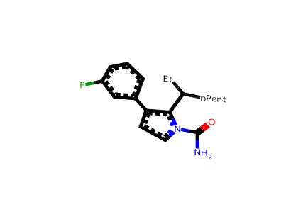 CCCCCC(CC)c1c(-c2cccc(F)c2)ccn1C(N)=O